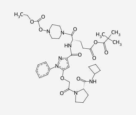 CCOC(=O)ON1CCN(C(=O)[C@H](CCC(=O)OC(=O)C(C)(C)C)NC(=O)c2cc(OCC(=O)N3CCC[C@H]3C(=O)NC3CCC3)n(-c3ccccc3)n2)CC1